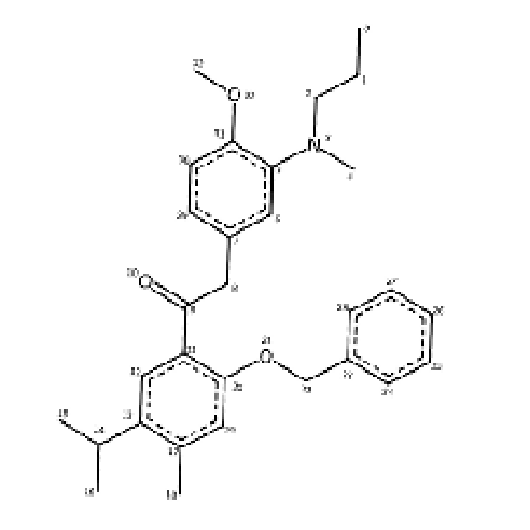 CCCN(C)c1cc(CC(=O)c2cc(C(C)C)c(C)cc2OCc2ccccc2)ccc1OC